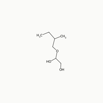 CCC(C)COC(O)CO